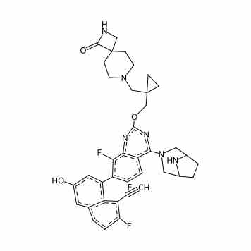 C#Cc1c(F)ccc2cc(O)cc(-c3c(F)cc4c(N5CC6CCC(C5)N6)nc(OCC5(CN6CCC7(CC6)CNC7=O)CC5)nc4c3F)c12